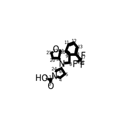 O=C(O)N1CC[C@@H](N(Cc2ccccc2C(F)(F)F)C2CCOC2)C1